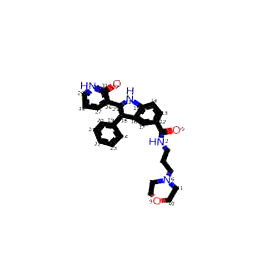 O=C(NCCCN1CCOCC1)c1ccc2c(c1)C(c1ccccc1)C(c1ccc[nH]c1=O)N2